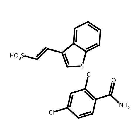 NC(=O)c1ccc(Cl)cc1Cl.O=S(=O)(O)/C=C/c1csc2ccccc12